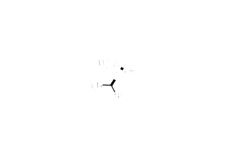 C=O.NC(N)=O.S